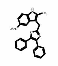 COc1ccc2[nH]c(C)c(Cc3nc(-c4ccccc4)c(-c4ccccc4)o3)c2c1